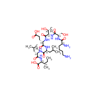 CC[C@H](C)[C@H](NC(=O)[C@H](CC(C)C)NC(=O)[C@H](CC(C)C)NC(=O)[C@H](CCC(=O)O)NC(=O)[C@@H](NC(=O)[C@H](CO)NC(=O)[C@@H](N)CCCCN)[C@@H](C)O)C(=O)O